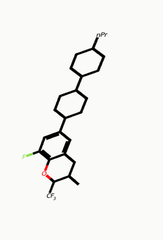 CCCC1CCC(C2CCC(c3cc(F)c4c(c3)CC(C)C(C(F)(F)F)O4)CC2)CC1